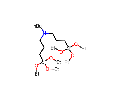 CCCCN(CCC[Si](OCC)(OCC)OCC)CCC[Si](OCC)(OCC)OCC